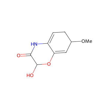 COC1C=C2OC(O)C(=O)NC2=CC1